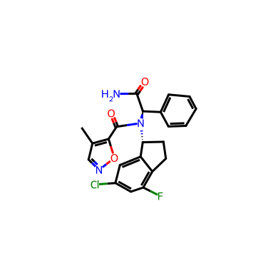 Cc1cnoc1C(=O)N([C@@H]1CCc2c(F)cc(Cl)cc21)[C@@H](C(N)=O)c1ccccc1